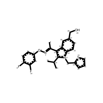 C/C(=N\Oc1ccc(F)c(F)c1)c1c(C(C)C)n(Cc2cccs2)c2ccc(CO)cc12